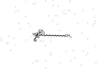 CCCCCCCCCCCCCCCCSCC(COP(=O)(O)OCCBr)OC(C)=O